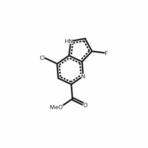 COC(=O)c1cc(Cl)c2[nH]cc(F)c2n1